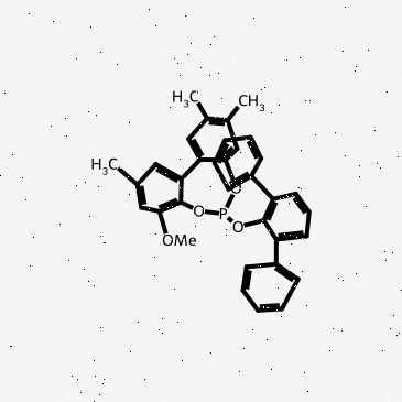 COc1cc(C)cc2c1op(Oc1c(-c3ccccc3)cccc1-c1ccccc1)oc1cc(C)c(C)cc12